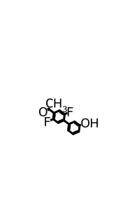 CC(=O)c1cc(F)c(-c2cccc(O)c2)cc1F